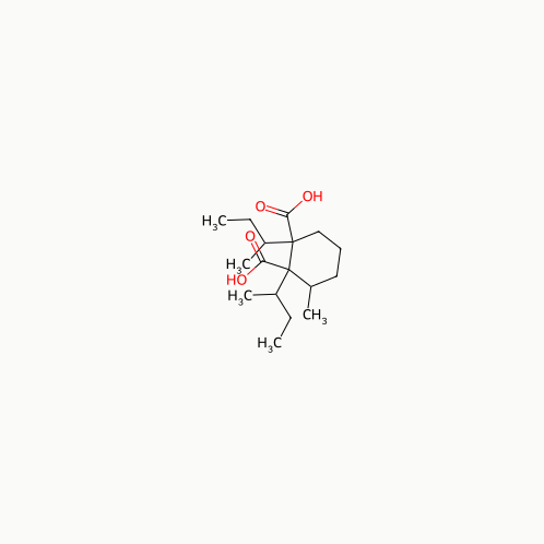 CCC(C)C1(C(=O)O)CCCC(C)C1(C(=O)O)C(C)CC